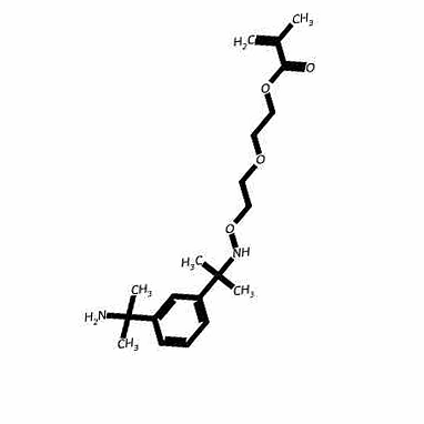 C=C(C)C(=O)OCCOCCONC(C)(C)c1cccc(C(C)(C)N)c1